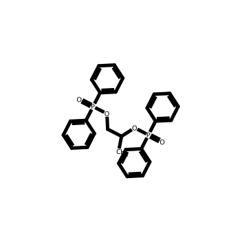 CC(COP(=O)(c1ccccc1)c1ccccc1)OP(=O)(c1ccccc1)c1ccccc1